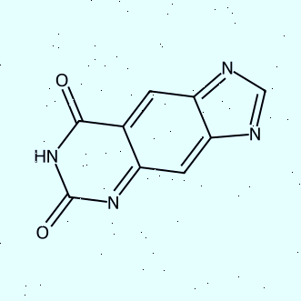 O=C1N=c2cc3c(cc2C(=O)N1)=NC=N3